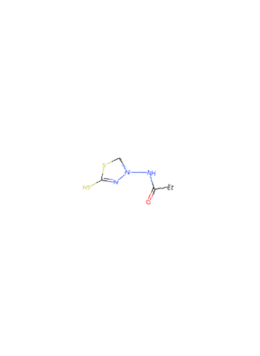 CCC(=O)NN1CSC(S)=N1